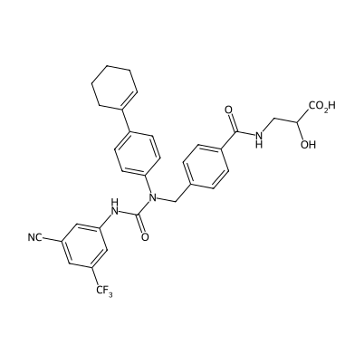 N#Cc1cc(NC(=O)N(Cc2ccc(C(=O)NCC(O)C(=O)O)cc2)c2ccc(C3=CCCCC3)cc2)cc(C(F)(F)F)c1